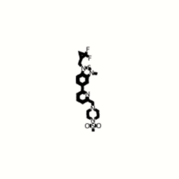 CN1SN(CC2CC2(F)F)c2ccc(-c3cccc(CN4CCN(S(C)(=O)=O)CC4)n3)cc21